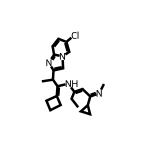 CC/C(=C\C(=N/C)C1CC1)NC(=C1CCC1)C(C)c1cn2cc(Cl)ccc2n1